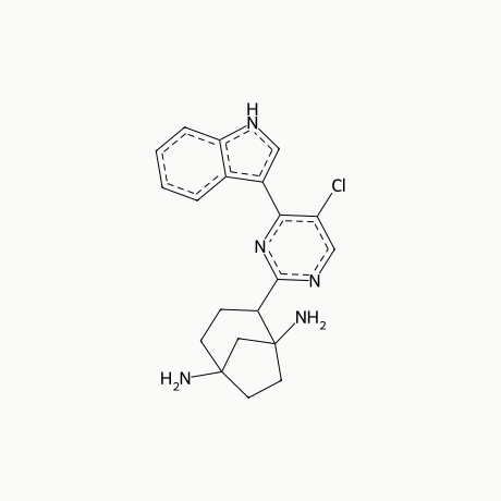 NC12CCC(c3ncc(Cl)c(-c4c[nH]c5ccccc45)n3)C(N)(CC1)C2